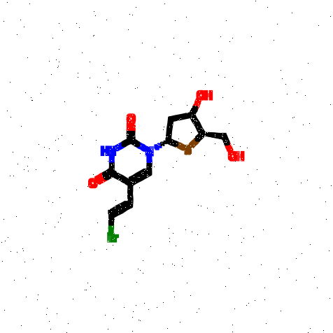 O=c1[nH]c(=O)n([C@@H]2CC(O)[C@@H](CO)S2)cc1/C=C/Br